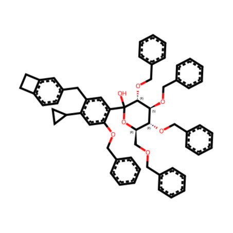 OC1(c2cc(Cc3ccc4c(c3)CC4)c(C3CC3)cc2OCc2ccccc2)O[C@H](COCc2ccccc2)[C@@H](OCc2ccccc2)[C@H](OCc2ccccc2)[C@H]1OCc1ccccc1